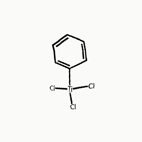 [Cl][Ti]([Cl])([Cl])[c]1ccccc1